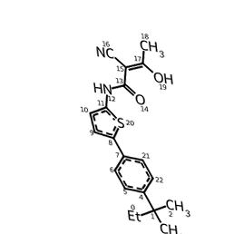 CCC(C)(C)c1ccc(-c2ccc(NC(=O)/C(C#N)=C(/C)O)s2)cc1